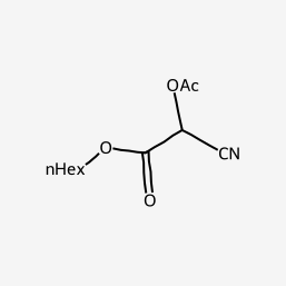 CCCCCCOC(=O)C(C#N)OC(C)=O